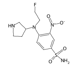 NS(=O)(=O)c1ccc(N(CCF)C2CCNC2)c([N+](=O)[O-])c1